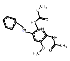 COC(=O)Nc1nc(NC(C)=O)c(OC)cc1/N=N/c1ccccc1